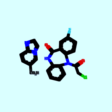 O=C(O)c1ccc2nccn2c1.O=C1Nc2ccccc2N(C(=O)CCl)c2ccc(F)cc21